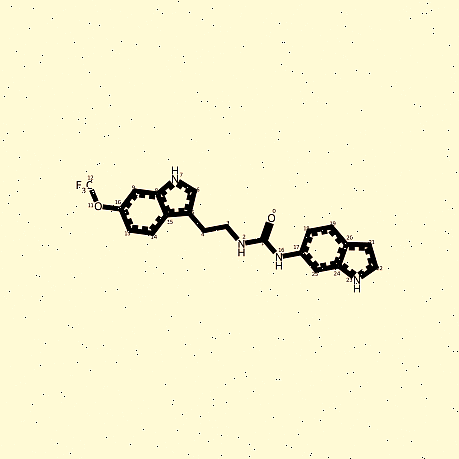 O=C(NCCc1c[nH]c2cc(OC(F)(F)F)ccc12)Nc1ccc2cc[nH]c2c1